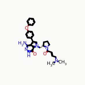 CN(C)CC=CC(=O)N1CCC[C@H]1Cn1cc(-c2ccc(Oc3ccccc3)cc2)c2c(N)n[nH]c(=O)c21